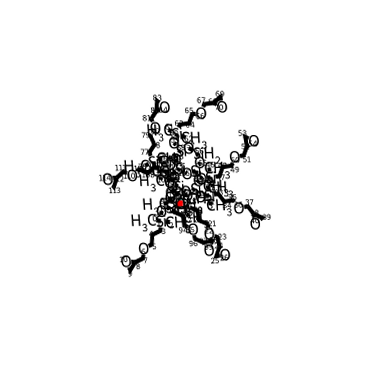 C[Si](C)(CCCOCC1CO1)O[SiH2]O[Si]1(O[Si](C)(C)CCCOCC2CO2)O[Si]2(O[Si](C)(C)CCCOCC3CO3)O[Si]3(O[Si](C)(C)CCCOCC4CO4)O[SiH2]O[Si]4(O[Si](C)(C)CCCOCC5CO5)O[Si](O[Si](C)(C)CCCOCC5CO5)(O1)O[Si](O[Si](C)(C)CCCOCC1CO1)(O2)O[Si](O[Si](C)(C)CCCOCC1CO1)(O3)O4